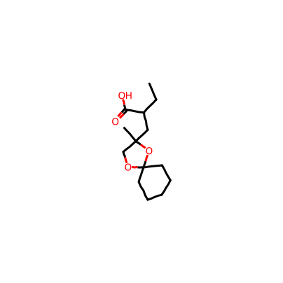 CCC(CC1(C)COC2(CCCCC2)O1)C(=O)O